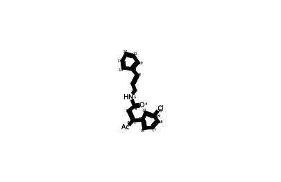 CC(=O)C(=CC(=O)NCC=Cc1ccccc1)c1cccc(Cl)c1